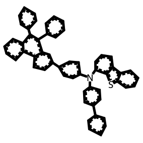 c1ccc(-c2ccc(N(c3ccc(-c4ccc5c(c4)c(-c4ccccc4)c(-c4ccccc4)c4ccccc45)cc3)c3cccc4c3sc3ccccc34)cc2)cc1